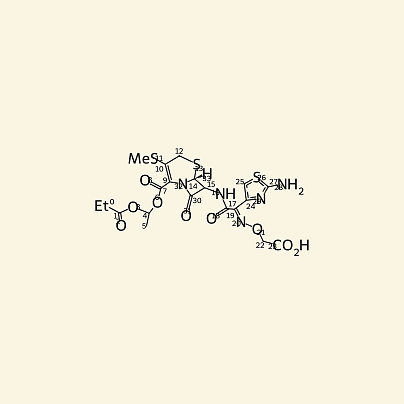 CCC(=O)OC(C)OC(=O)C1=C(SC)CS[C@@H]2C(NC(=O)/C(=N/OCC(=O)O)c3csc(N)n3)C(=O)N12